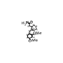 COc1ccc(CN2CCCCC2CC(N)=O)c(OC)c1